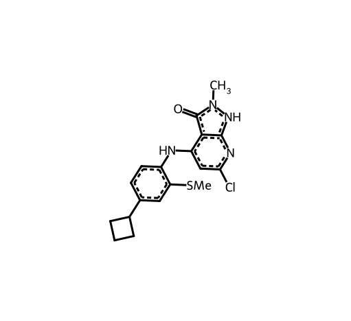 CSc1cc(C2CCC2)ccc1Nc1cc(Cl)nc2[nH]n(C)c(=O)c12